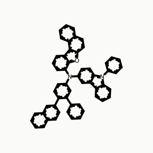 c1ccc(-c2cc(N(c3ccc4c(c3)c3ccccc3n4-c3ccccc3)c3cccc4c3oc3ccc5ccccc5c34)ccc2-c2ccc3ccccc3c2)cc1